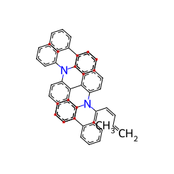 C=C/C=C\C(=C/C)N(c1ccccc1-c1ccccc1)c1ccc2ccccc2c1-c1c(N(c2ccccc2)c2ccccc2-c2ccccc2)ccc2ccccc12